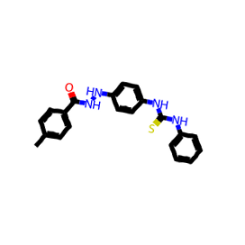 Cc1ccc(C(=O)NNc2ccc(NC(=S)Nc3ccccc3)cc2)cc1